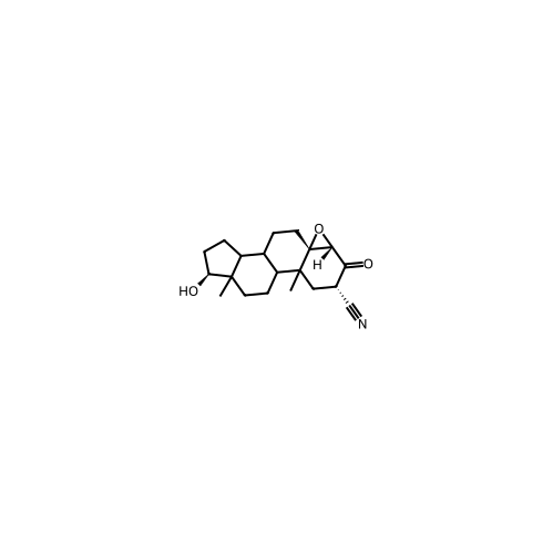 CC12CCC3C(CC[C@@]45O[C@@H]4C(=O)[C@H](C#N)CC35C)C1CC[C@@H]2O